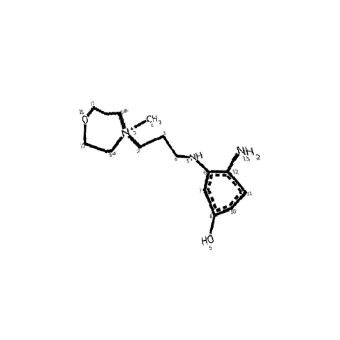 C[N+]1(CCCNc2cc(O)ccc2N)CCOCC1